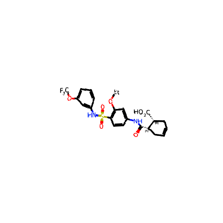 CCOc1cc(NC(=O)[C@H]2CC=CC[C@H]2C(=O)O)ccc1S(=O)(=O)Nc1cccc(OC(F)(F)F)c1